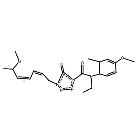 CCN(C(=O)n1nnn(C/C=C\C=C/C(C)OC)c1=O)C1C=CC(OC)=CC1C